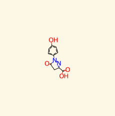 O=C(O)C1=NN(c2ccc(O)cc2)C(=O)C1